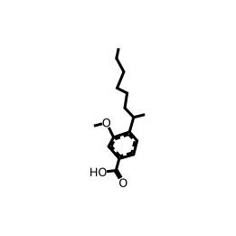 CCCCCCC(C)c1ccc(C(=O)O)cc1OC